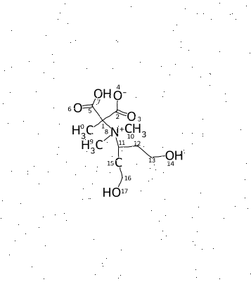 CC(C(=O)[O-])(C(=O)O)[N+](C)(C)C(CCO)CCO